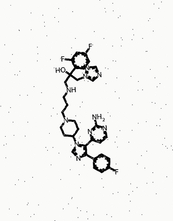 Nc1nccc(-c2c(-c3ccc(F)cc3)ncn2C2CCN(CCCNCC(O)(Cn3cncn3)c3ccc(F)cc3F)CC2)n1